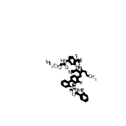 CCCc1nn(-c2cc(NC(=O)COC)ccc2C(F)(F)F)c(C#N)c1Cc1ccc(-c2ccccc2S(=O)(=O)NC(=O)c2ccccc2F)cc1F